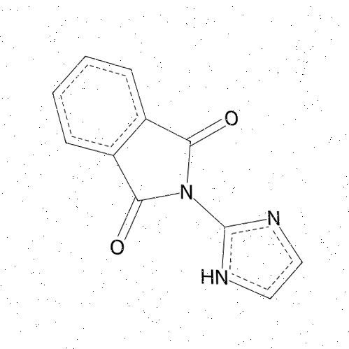 O=C1c2ccccc2C(=O)N1c1ncc[nH]1